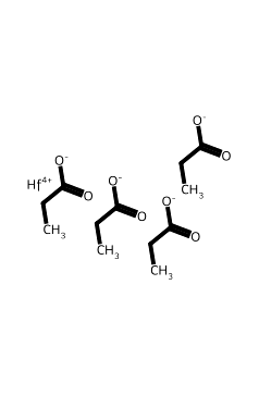 CCC(=O)[O-].CCC(=O)[O-].CCC(=O)[O-].CCC(=O)[O-].[Hf+4]